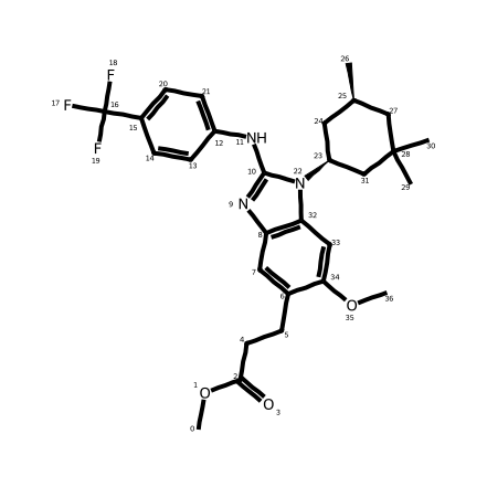 COC(=O)CCc1cc2nc(Nc3ccc(C(F)(F)F)cc3)n([C@H]3C[C@@H](C)CC(C)(C)C3)c2cc1OC